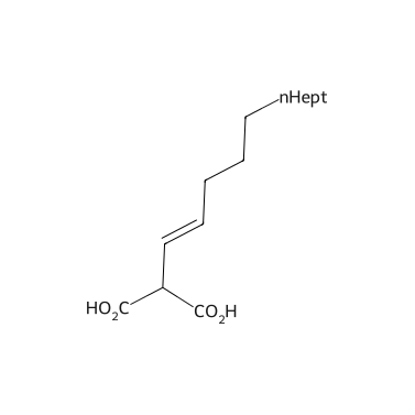 CCCCCCCCCC/C=C/C(C(=O)O)C(=O)O